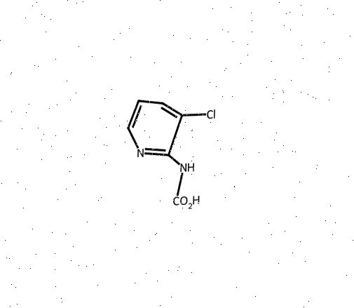 O=C(O)Nc1ncccc1Cl